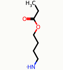 CCC(=O)OCCCC[NH]